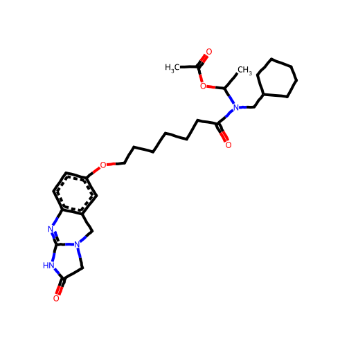 CC(=O)OC(C)N(CC1CCCCC1)C(=O)CCCCCCOc1ccc2c(c1)CN1CC(=O)NC1=N2